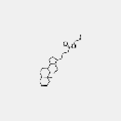 C=CCOC(=O)CCCC1CCC2C1CCC1C2CCC2CCCCC21C